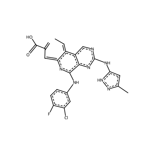 C=C(/C=c1/nc(Nc2ccc(F)c(Cl)c2)c2nc(Nc3cc(C)n[nH]3)ncc2/c1=C/C)C(=O)O